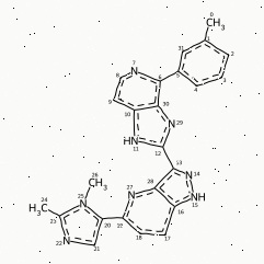 Cc1cccc(-c2nccc3[nH]c(-c4n[nH]c5ccc(-c6cnc(C)n6C)nc45)nc23)c1